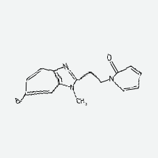 Cn1c(CCn2ccccc2=O)nc2ccc(Br)cc21